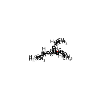 Cc1ccc(C(=O)NC(C)C)cc1-c1ccc(C[C@H](NC(=O)[C@H]2CC[C@H](CNC(=O)OC(C)(C)C)CC2)C(=O)Nc2ccc(-c3nc(CCC(=O)OC(C)(C)C)n[nH]3)cc2)cc1